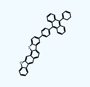 C1=CCCC(c2c3ccccc3c(-c3ccc(-c4ccc5sc6c7cc8oc9ccccc9c8cc7ccc6c5c4)cc3)c3ccccc23)=C1